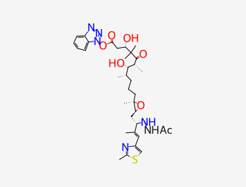 CC(=O)NN[C@@H](C[C@@H]1O[C@]1(C)CCC[C@H](C)[C@H](O)[C@@H](C)C(=O)C(C)(C)[C@@H](O)CC(=O)On1nnc2ccccc21)/C(C)=C/c1csc(C)n1